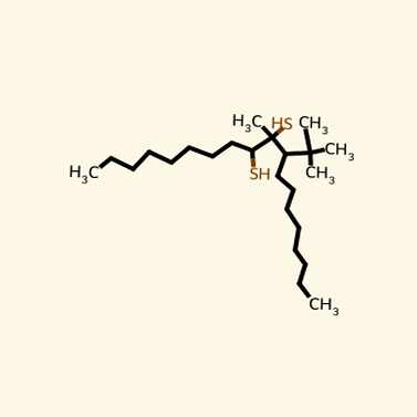 CCCCCCCCC(S)C(C)(S)C(CCCCCCCC)C(C)(C)C